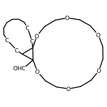 O=CC12OCCOCCOCCOCCOCCOC13CCCCCCCCCCC23